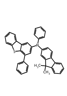 CC1(C)c2ccccc2-c2ccc(N(c3ccccc3)c3cc(-c4ccccc4)c4sc5ccccc5c4c3)cc21